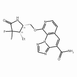 CC[C@H]1[C@@H](COc2nccc3cc(C(N)=O)c4ncnn4c23)NC(=O)C1(F)F